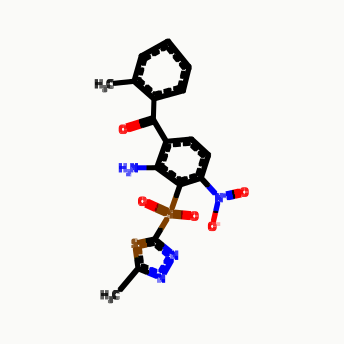 Cc1nnc(S(=O)(=O)c2c([N+](=O)[O-])ccc(C(=O)c3ccccc3C)c2N)s1